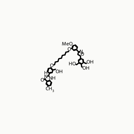 COc1ccc(C2=NOC(c3cc(CO)c(CO)c(CO)c3)C2)cc1OCCCCCCCCCOc1ccc(C2NC(=O)c3cc(C)ccc3N2)cc1CO